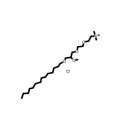 CCCCCCCCCCCCCCOCC(COCCOCC[N+](C)(C)C)OC.[Cl-]